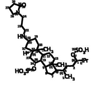 CC(C)[C@@H](CC[C@@H](C)[C@H]1CCC2C3C(CC[C@@]21C)[C@@]1(C)CC[C@H](NCCCN2CCCC2=O)C[C@@H]1C[C@H]3OS(=O)(=O)O)OS(=O)(=O)O